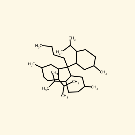 CCCCC(C1CC(C)CCC1C(C)C)(C1CC(C)CCC1C(C)C)C1CC(C)CCC1C(C)C